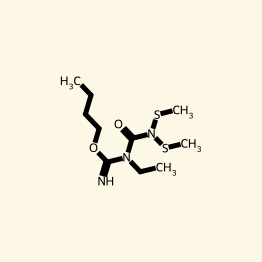 CCCCOC(=N)N(CC)C(=O)N(SC)SC